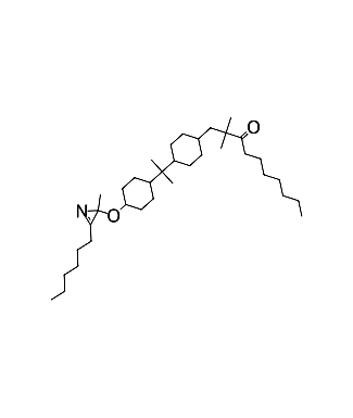 CCCCCCCC(=O)C(C)(C)CC1CCC(C(C)(C)C2CCC(OC3(C)N=C3CCCCCC)CC2)CC1